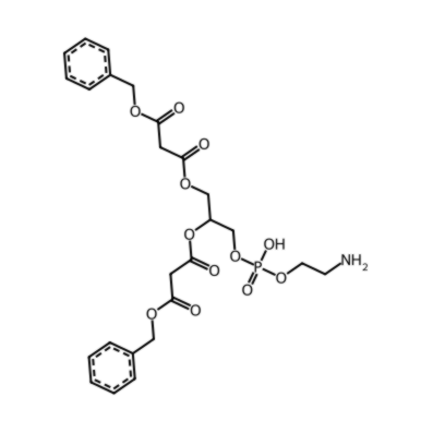 NCCOP(=O)(O)OCC(COC(=O)CC(=O)OCc1ccccc1)OC(=O)CC(=O)OCc1ccccc1